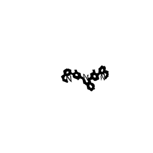 Cc1cc(-c2cc3ccccc3c(-c3ccc(-c4cccc5cccnc45)c(C)c3)n2)ccc1-c1cccc2cccnc12